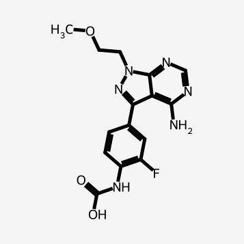 COCCn1nc(-c2ccc(NC(=O)O)c(F)c2)c2c(N)ncnc21